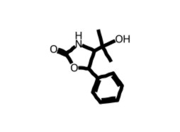 CC(C)(O)C1NC(=O)OC1c1ccccc1